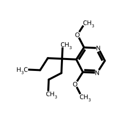 CCCC(C)(CCC)c1c(OC)ncnc1OC